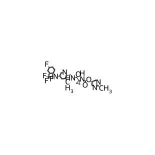 Cc1ncc(OC(=O)NC2(C(=O)NCc3ncc(Nc4ccc(F)cc4C(F)(F)F)cc3C)CC2)cn1